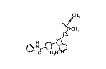 CC#CC(=O)N(C)C1CC(n2nc(-c3ccc(C(=O)Nc4ccccc4)cc3)c3c(N)ncnc32)C1